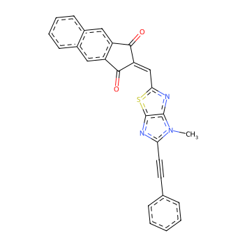 Cn1c(C#Cc2ccccc2)nc2sc(C=C3C(=O)c4cc5ccccc5cc4C3=O)nc21